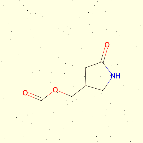 O=COCC1CNC(=O)C1